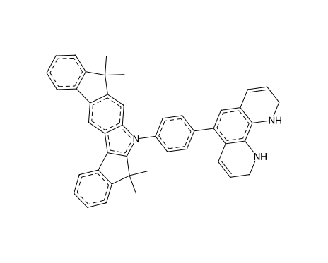 CC1(C)c2ccccc2-c2cc3c4c(n(-c5ccc(-c6cc7c(c8c6C=CCN8)NCC=C7)cc5)c3cc21)C(C)(C)c1ccccc1-4